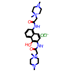 CN1CC[N+](C)(CC(=O)Nc2ccc3c(NC(=O)C[N+]4(C)CCN(C)CC4)cccc3c2O)CC1.[Cl-].[Cl-]